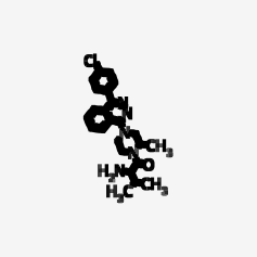 CC(C)C(N)C(=O)N1CCN(c2nnc(-c3ccc(Cl)cc3)c3ccccc23)CC1C